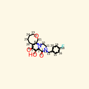 O=C1c2c(O)c(=O)c3c(n2CCN1Cc1ccc(F)cc1)COCCCC3